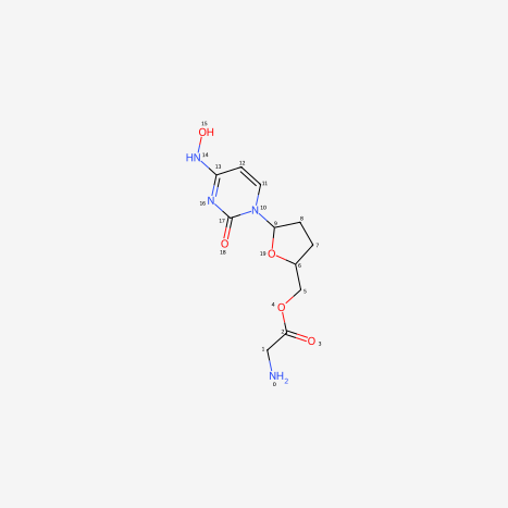 NCC(=O)OCC1CCC(n2ccc(NO)nc2=O)O1